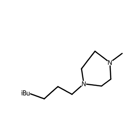 CCC(C)CCCN1CCN(C)CC1